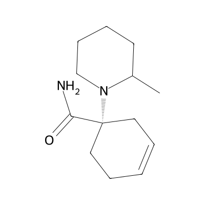 CC1CCCCN1[C@]1(C(N)=O)CC=CCC1